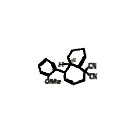 COc1ccccc1C1C=CCC(C#N)(C#N)C2=CCCC[C@H]21